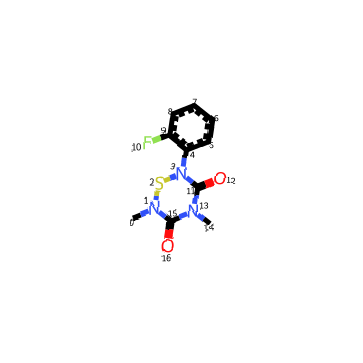 CN1SN(c2ccccc2F)C(=O)N(C)C1=O